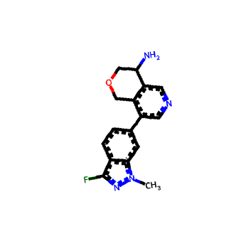 Cn1nc(F)c2ccc(-c3cncc4c3COCC4N)cc21